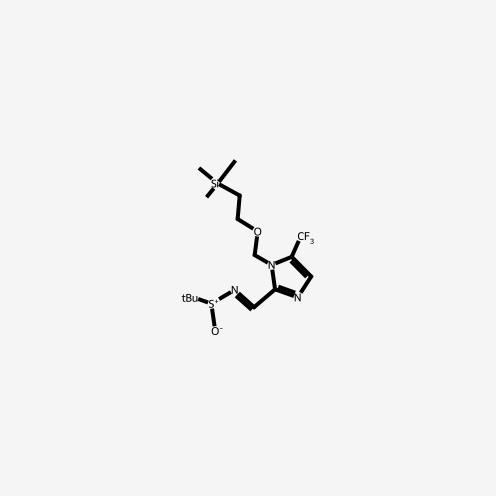 CC(C)(C)[S+]([O-])N=Cc1ncc(C(F)(F)F)n1COCC[Si](C)(C)C